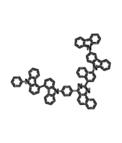 c1ccc(-n2c3ccccc3c3c(-c4cccc5c4c4ccccc4n5-c4ccc(-c5nc(-c6ccc(-n7c8ccccc8c8cc(-n9c%10ccccc%10c%10ccccc%109)ccc87)c7ccccc67)nc6c5ccc5ccccc56)cc4)cccc32)cc1